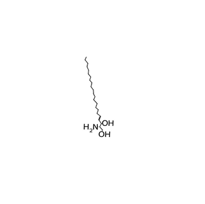 CCCCCCCCCCCCCCCCCC/C=C/[C@@H](O)[C@@H](N)CO